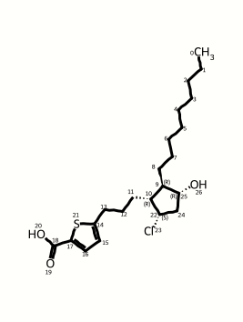 CCCCCCCCC[C@@H]1[C@@H](CCCc2ccc(C(=O)O)s2)[C@@H](Cl)C[C@H]1O